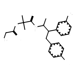 CC(NC(=O)C(C)(C)OC(=O)CC(C)(C)C)C(Cc1ccc(Cl)cc1)c1cccc(C#N)c1